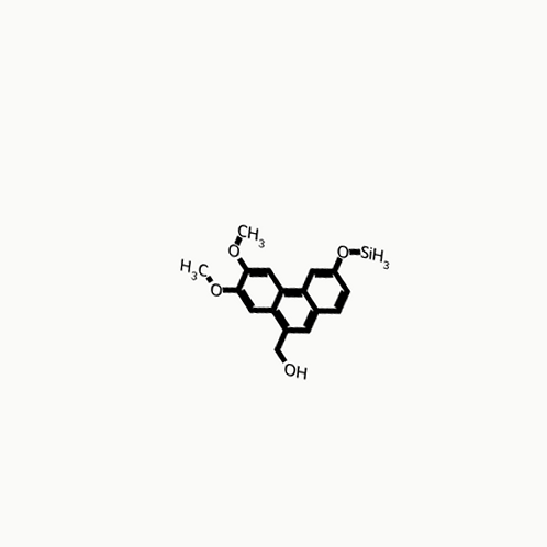 COc1cc2c(CO)cc3ccc(O[SiH3])cc3c2cc1OC